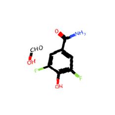 NC(=O)c1cc(F)c(O)c(F)c1.O=CO